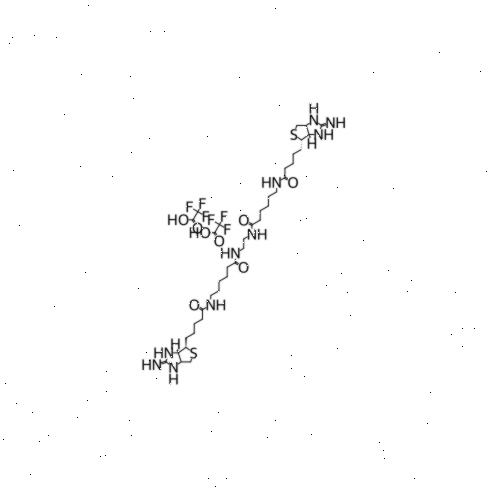 N=C1NC2CS[C@@H](CCCCC(=O)NCCCCCC(=O)NCCNC(=O)CCCCCNC(=O)CCCC[C@H]3SCC4NC(=N)N[C@@H]43)[C@H]2N1.O=C(O)C(F)(F)F.O=C(O)C(F)(F)F